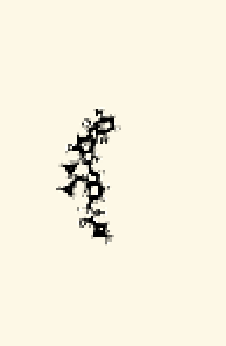 C[C@@H](NC(=O)C12CC(F)(C1)C2)c1ccc2cc(-c3nc4cc(C(=O)N5[C@H]6CC[C@@H]5[C@H](N)C6)cc(F)c4n3C3CC3)n(CC3CC3)c2n1